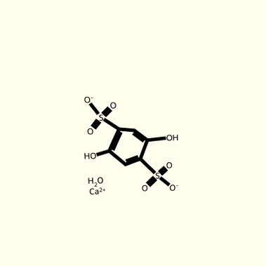 O.O=S(=O)([O-])c1cc(O)c(S(=O)(=O)[O-])cc1O.[Ca+2]